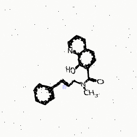 CN(C/C=C/c1ccccc1)C(=O)c1ccc2cccnc2c1O